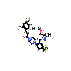 COCC(C)NCc1cc(C(F)(F)F)ccc1N1CCN(C(=O)CCc2ccc(Cl)cc2Cl)CC1